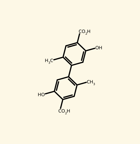 Cc1cc(C(=O)O)c(O)cc1-c1cc(O)c(C(=O)O)cc1C